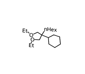 CCCCCCC(COCC)(COCC)C1CCCCC1